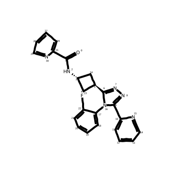 O=C(N[C@H]1C[C@H](c2nnc(-c3ccccn3)n2-c2ccccc2F)C1)c1ccccn1